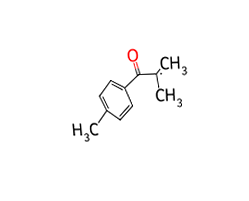 C[C](C)C(=O)c1ccc(C)cc1